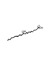 CCCCCC=CC=CC(O)CC=CCC=CCCCC(=O)O